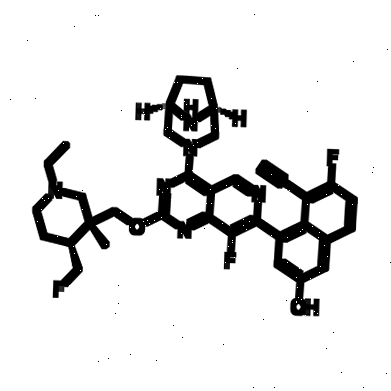 C#Cc1c(F)ccc2cc(O)cc(-c3ncc4c(N5C[C@H]6CC[C@@H](C5)N6)nc(OC[C@@]5(C)CN(CC)CC[C@@H]5CF)nc4c3F)c12